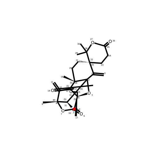 C=C1C23O[C@@]45C(=O)O[C@](C)(C(=C)[C@@]4(C(=O)O[C@H]5C)[C@]2(C)CC[C@]12CCC(=O)OC2(C)C)[C@@H]3OC(C)=O